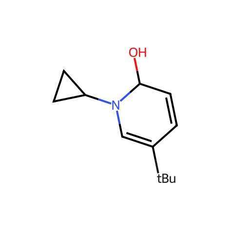 CC(C)(C)C1=CN(C2CC2)C(O)C=C1